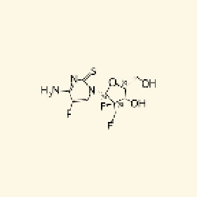 Nc1nc(=S)n([C@@H]2O[C@H](CO)C(O)[C@]2(F)CF)cc1F